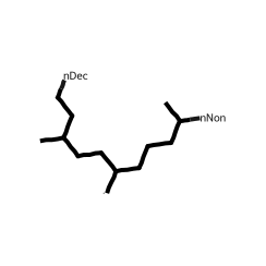 [CH2]C(CCCC(C)CCCCCCCCC)CCC(C)CCCCCCCCCCCC